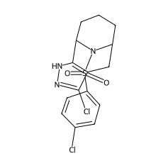 O=S(=O)(c1ccc(Cl)cc1)N1C2CCCC1c1[nH]nc(Cl)c1C2